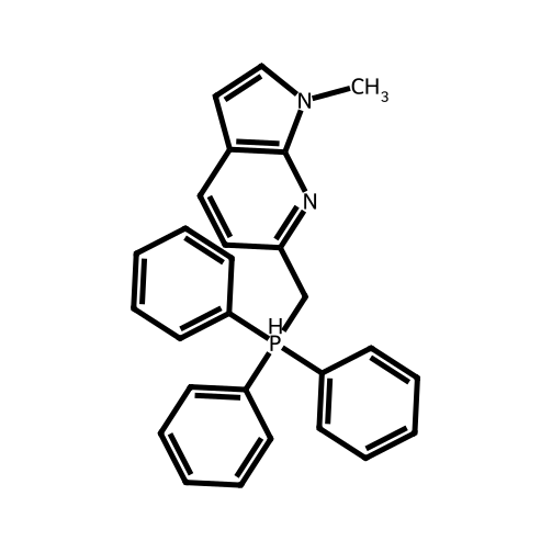 Cn1ccc2ccc(C[PH](c3ccccc3)(c3ccccc3)c3ccccc3)nc21